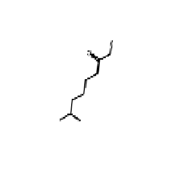 CCC(=O)CCCCC(C)C